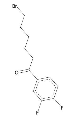 O=C(CCCCCBr)c1ccc(F)c(F)c1